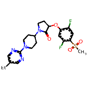 CCc1cnc(N2CCC(N3CCC(Oc4cc(F)c(S(C)(=O)=O)cc4F)C3=O)CC2)nc1